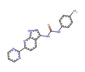 O=C(Nc1ccc(C(F)(F)F)cc1)Nc1c[nH]c2nc(-c3ncccn3)ccc12